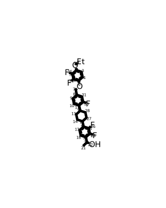 CCOc1ccc(OCc2ccc(C3CCC(c4ccc(C(C)O)c(F)c4F)CC3)c(F)c2)c(F)c1F